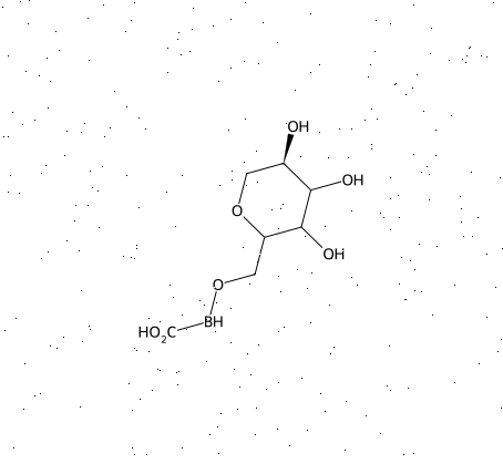 O=C(O)BOCC1OC[C@@H](O)C(O)C1O